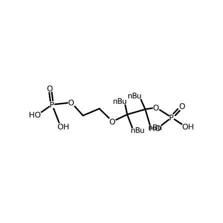 CCCCC(CCCC)(OCCOP(=O)(O)O)C(CCCC)(CCCC)OP(=O)(O)O